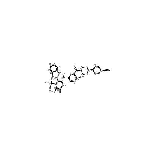 N#Cc1ccc(N2CCN(C(=O)c3cc(OCC4c5ccccc5CN4c4cn[nH]c(=O)c4C(F)(F)F)cnc3F)CC2)nc1